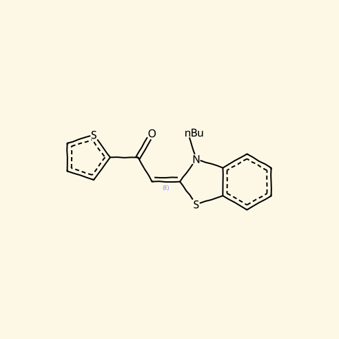 CCCCN1/C(=C\C(=O)c2cccs2)Sc2ccccc21